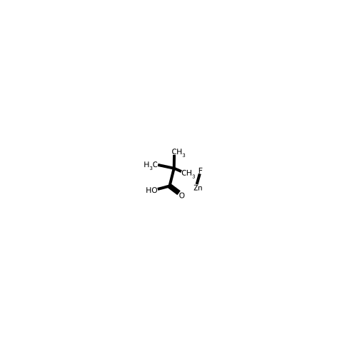 CC(C)(C)C(=O)O.[F][Zn]